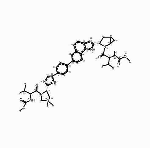 COC(=O)N[C@H](C(=O)N1C[Si](C)(C)C[C@H]1c1ncc(-c2ccc(-c3ccc4c(ccc5nc([C@@H]6CC7CC7N6C(=O)[C@@H](NC(=O)OC)C(C)C)[nH]c54)c3)cc2)[nH]1)C(C)C